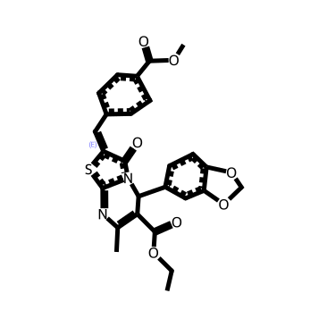 CCOC(=O)C1=C(C)N=c2s/c(=C/c3ccc(C(=O)OC)cc3)c(=O)n2C1c1ccc2c(c1)OCO2